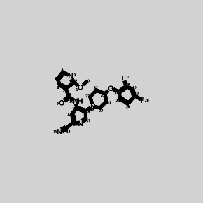 COc1ncccc1C(=O)Nc1cc(C#N)ncc1N1CCC(Oc2ccc(F)cc2F)CC1